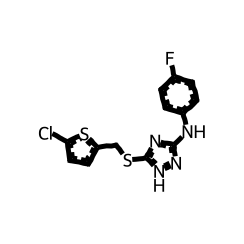 Fc1ccc(Nc2n[nH]c(SCc3ccc(Cl)s3)n2)cc1